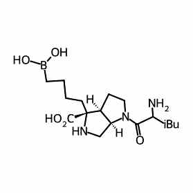 CCC(C)C(N)C(=O)N1CC[C@H]2[C@@H]1CN[C@@]2(CCCCB(O)O)C(=O)O